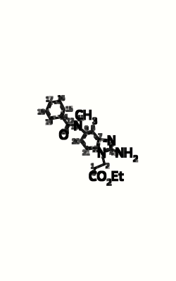 CCOC(=O)CCn1c(N)nc2cc(N(C)C(=O)c3ccccc3)ccc21